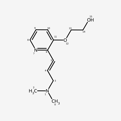 CN(C)CC=Cc1ncccc1OCCO